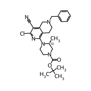 C[C@H]1CN(C(=O)OC(C)(C)C)CCN1c1nc(Cl)c(C#N)c2c1CCN(Cc1ccccc1)C2